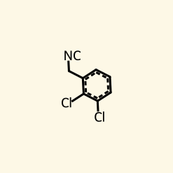 [C-]#[N+]Cc1cccc(Cl)c1Cl